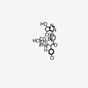 CC(C)NC[C@@H](C(=O)N1CCN(c2ncnc3c2[C@H](C)C[C@H]3O)CC1)c1ccc(Cl)cc1.CCOC(C)=O.Cl